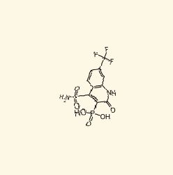 NS(=O)(=O)c1c(P(=O)(O)O)c(=O)[nH]c2cc(C(F)(F)F)ccc12